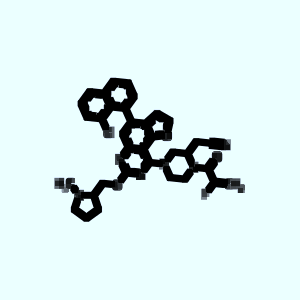 C=C(F)C(=O)N1CCN(c2nc(OCC3CCCN3C)nc3cc(-c4cccc5cccc(Cl)c45)c4ccoc4c23)CC1CC#N